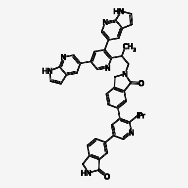 CC(C)c1ncc(-c2ccc3c(c2)C(=O)NC3)cc1-c1ccc2c(c1)C(=O)N(CC(C)c1ncc(-c3cnc4[nH]ccc4c3)cc1-c1cnc3[nH]ccc3c1)C2